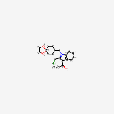 COC(=O)c1c(CBr)n(CC2CCC3(CC2)OCCO3)c2ccccc12